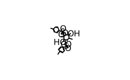 Cc1ccc(S(=O)(=O)OC2C(C)C(O)C(OS(=O)(=O)c3ccc(C)cc3)C(C)C2O)cc1